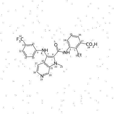 CCc1c(NC(=O)c2c(Nc3cccc(C(F)(F)F)c3)c3ccncc3n2C)cccc1C(=O)O